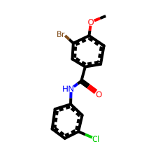 COc1ccc(C(=O)Nc2cccc(Cl)c2)cc1Br